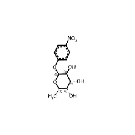 C[C@@H]1O[C@@H](Oc2ccc([N+](=O)[O-])cc2)[C@@H](O)[C@H](O)[C@@H]1O